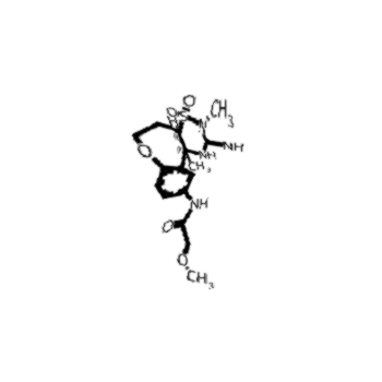 COCC(=O)Nc1ccc2c(c1)[C@@]1(C)NC(=N)N(C)S(=O)(=O)[C@@H]1CCO2